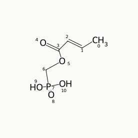 CC=CC(=O)OCP(=O)(O)O